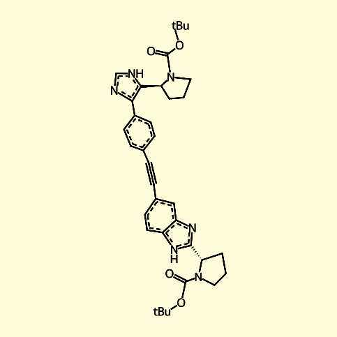 CC(C)(C)OC(=O)N1CCC[C@H]1c1nc2cc(C#Cc3ccc(-c4nc[nH]c4[C@@H]4CCCN4C(=O)OC(C)(C)C)cc3)ccc2[nH]1